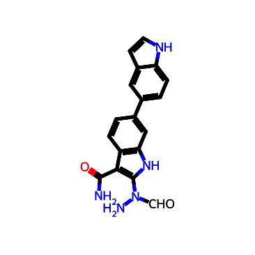 NC(=O)c1c(N(N)C=O)[nH]c2cc(-c3ccc4[nH]ccc4c3)ccc12